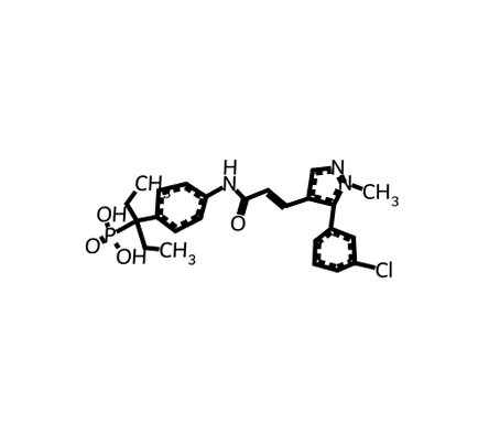 CCC(CC)(c1ccc(NC(=O)C=Cc2cnn(C)c2-c2cccc(Cl)c2)cc1)P(=O)(O)O